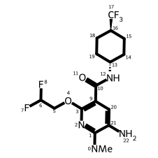 CNc1nc(OCC(F)F)c(C(=O)N[C@H]2CC[C@H](C(F)(F)F)CC2)cc1N